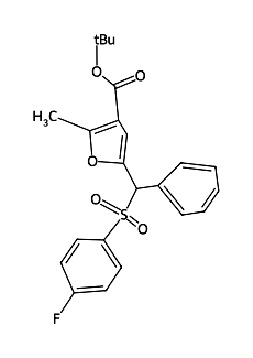 Cc1oc(C(c2ccccc2)S(=O)(=O)c2ccc(F)cc2)cc1C(=O)OC(C)(C)C